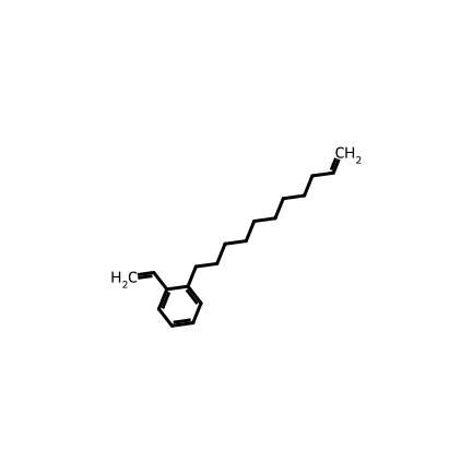 C=CCCCCCCCCCc1ccccc1C=C